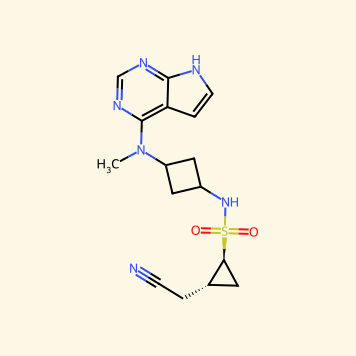 CN(c1ncnc2[nH]ccc12)C1CC(NS(=O)(=O)[C@H]2C[C@@H]2CC#N)C1